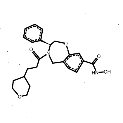 O=C(NO)c1ccc2c(c1)OC[C@H](c1ccccc1)N(C(=O)CCC1CCOCC1)C2